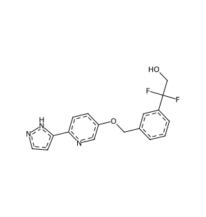 OCC(F)(F)c1cccc(COc2ccc(-c3ccn[nH]3)nc2)c1